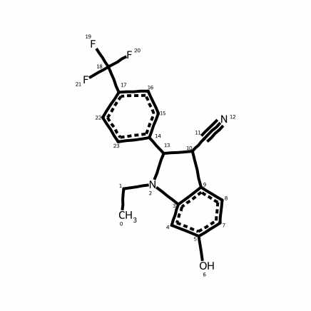 CCN1c2cc(O)ccc2C(C#N)C1c1ccc(C(F)(F)F)cc1